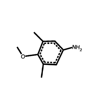 COc1c(C)cc(N)cc1C